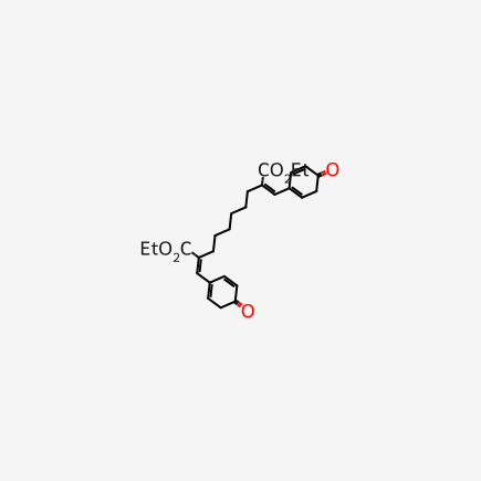 CCOC(=O)C(=CC1=CCC(=O)C=C1)CCCCCCC(=CC1=CCC(=O)C=C1)C(=O)OCC